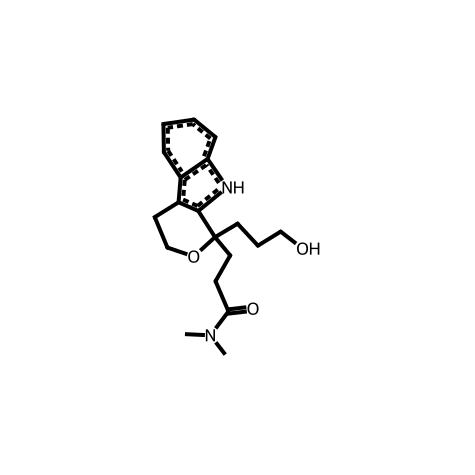 CN(C)C(=O)CCC1(CCCO)OCCc2c1[nH]c1ccccc21